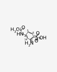 CC(=O)Nc1ccc(S(=O)(=O)O)c(N)c1